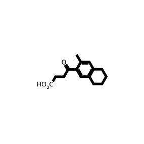 Cc1cc2c(cc1C(=O)CCC(=O)O)CCCC2